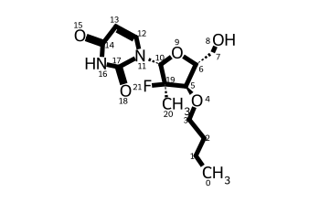 CCCCO[C@@H]1[C@@H](CO)O[C@@H](n2ccc(=O)[nH]c2=O)[C@]1(C)F